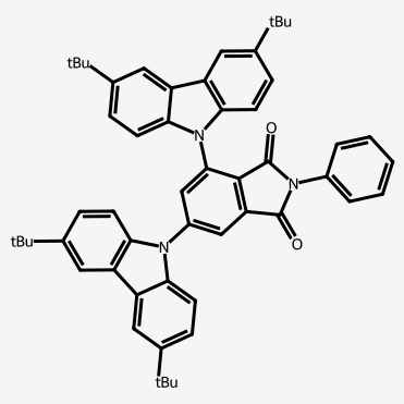 CC(C)(C)c1ccc2c(c1)c1cc(C(C)(C)C)ccc1n2-c1cc2c(c(-n3c4ccc(C(C)(C)C)cc4c4cc(C(C)(C)C)ccc43)c1)C(=O)N(c1ccccc1)C2=O